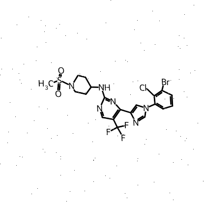 CS(=O)(=O)N1CCC(Nc2ncc(C(F)(F)F)c(-c3cn(-c4cccc(Br)c4Cl)cn3)n2)CC1